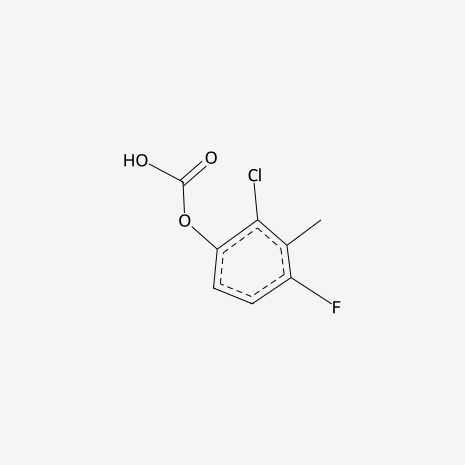 Cc1c(F)ccc(OC(=O)O)c1Cl